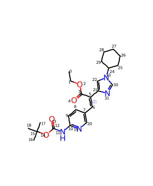 CCOC(=O)/C(=C\c1ccc(NC(=O)OC(C)(C)C)nc1)c1cn(C2CCCCC2)cn1